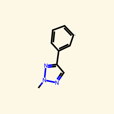 Cn1ncc(-c2c[c]ccc2)n1